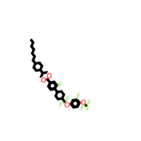 CCCCCCCC1CCC(C2COC(c3ccc(C4CCC(C(F)(F)Oc5ccc(OC(F)(F)F)c(F)c5)CC4)c(F)c3)OC2)CC1